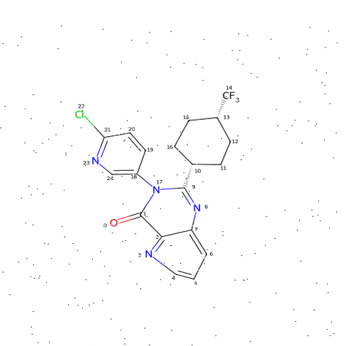 O=c1c2ncccc2nc([C@H]2CC[C@@H](C(F)(F)F)CC2)n1-c1ccc(Cl)nc1